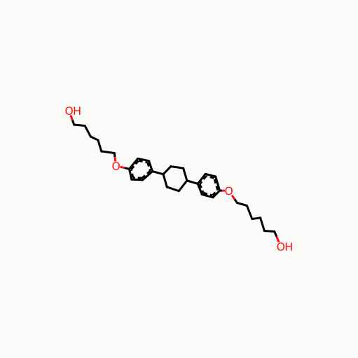 OCCCCCCOc1ccc(C2CCC(c3ccc(OCCCCCCO)cc3)CC2)cc1